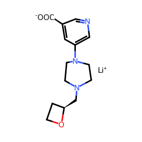 O=C([O-])c1cncc(N2CCN(C[C@@H]3CCO3)CC2)c1.[Li+]